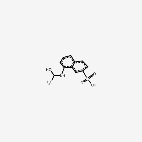 CC(O)Nc1cccc2ccc(S(=O)(=O)O)cc12